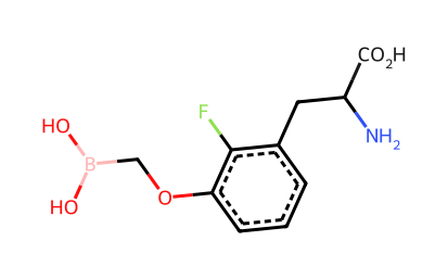 NC(Cc1cccc(OCB(O)O)c1F)C(=O)O